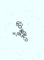 COc1ccc(Cn2nc3c4c(nccc42)N(C2CCOCC2)CCN3C)cc1